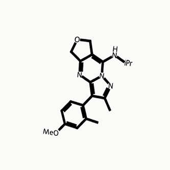 COc1ccc(-c2c(C)nn3c(NC(C)C)c4c(nc23)COC4)c(C)c1